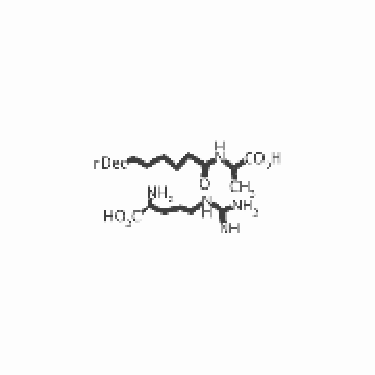 CCCCCCCCCCCCCCCC(=O)NC(C)C(=O)O.N=C(N)NCCC[C@H](N)C(=O)O